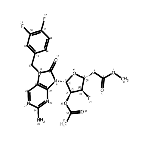 COC(=O)C[C@H]1O[C@@H](n2c(=O)n(Cc3ccc(F)c(F)c3)c3cnc(N)nc32)[C@H](OC(C)=O)[C@@H]1F